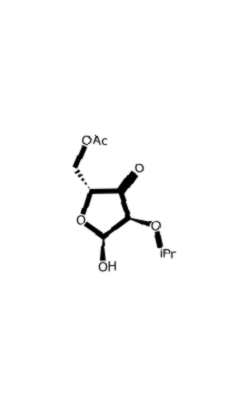 CC(=O)OC[C@H]1O[C@H](O)[C@H](OC(C)C)C1=O